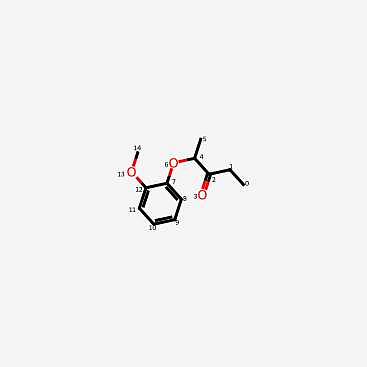 CCC(=O)C(C)Oc1ccccc1OC